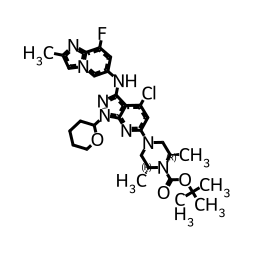 Cc1cn2cc(Nc3nn(C4CCCCO4)c4nc(N5C[C@@H](C)N(C(=O)OC(C)(C)C)[C@H](C)C5)cc(Cl)c34)cc(F)c2n1